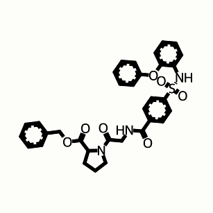 O=C(NCC(=O)N1CCCC1C(=O)OCc1ccccc1)c1ccc(S(=O)(=O)Nc2ccccc2Oc2ccccc2)cc1